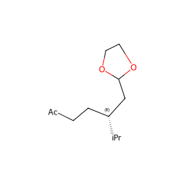 CC(=O)CC[C@H](CC1OCCO1)C(C)C